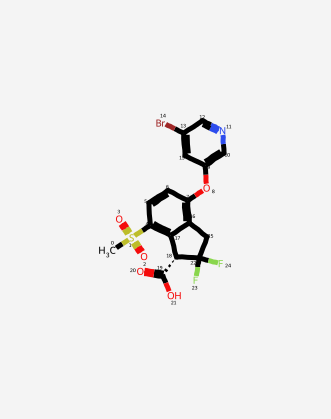 CS(=O)(=O)c1ccc(Oc2cncc(Br)c2)c2c1[C@@H](C(=O)O)C(F)(F)C2